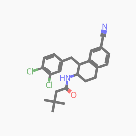 CC(C)(C)CC(=O)NC1CCc2ccc(C#N)cc2C1Cc1ccc(Cl)c(Cl)c1